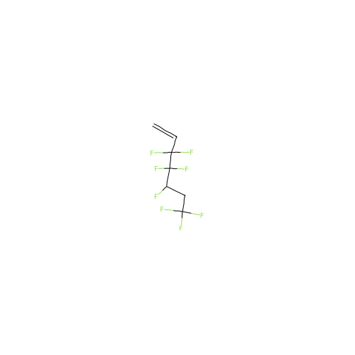 C=CC(F)(F)C(F)(F)C(F)CC(F)(F)F